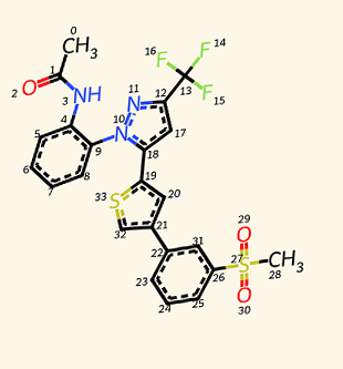 CC(=O)Nc1ccccc1-n1nc(C(F)(F)F)cc1-c1cc(-c2cccc(S(C)(=O)=O)c2)cs1